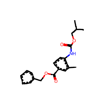 Cc1cc(C(=O)OCc2ccccc2)ccc1NC(=O)OCC(C)C